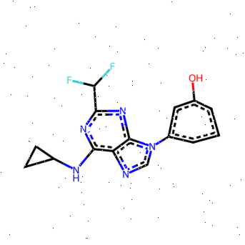 Oc1cccc(-n2cnc3c(NC4CC4)nc(C(F)F)nc32)c1